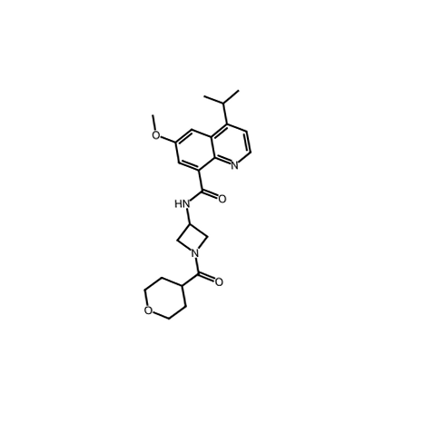 COc1cc(C(=O)NC2CN(C(=O)C3CCOCC3)C2)c2nccc(C(C)C)c2c1